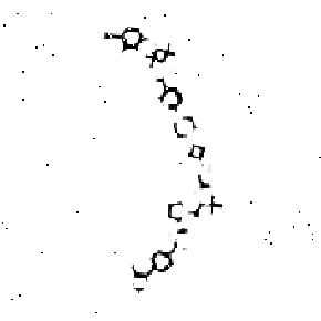 Cc1ncsc1-c1ccc([C@H](C)NC(=O)[C@@H]2C[C@@H](O)CN2C(=O)[C@@H](NC(=O)CN[C@H]2C[C@@H](N3CCN(c4ccc(C(=O)N[C@H]5C(C)(C)[C@H](Oc6ccc(C#N)c(Cl)c6)C5(C)C)cn4)CC3)C2)C(C)(C)C)cc1